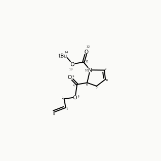 C=CCOC(=O)C1CC=CN1C(=O)OC(C)(C)C